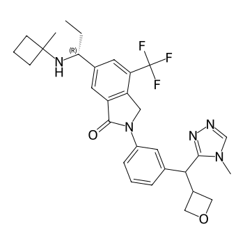 CC[C@@H](NC1(C)CCC1)c1cc2c(c(C(F)(F)F)c1)CN(c1cccc(C(c3nncn3C)C3COC3)c1)C2=O